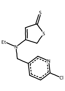 CCN(Cc1ccc(Cl)nc1)C1=CC(=S)SC1